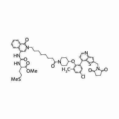 COC(=O)C(CCSC)NC(=O)Nc1cn(CCCCCCCC(=O)N2CCC(Oc3c(C)cc(Cl)cc3-c3ccnc4cc(CN5C(=O)CCC5=O)sc34)CC2)c(=O)c2ccccc12